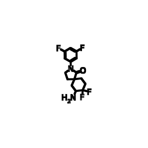 NC1CC2(CCN(c3cc(F)cc(F)c3)C2=O)CCC1(F)F